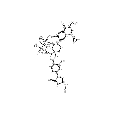 CCc1cc2c(=O)c(C(=O)O)cn(C3CC3)c2cc1N1CCC(COc2ccc(N3C[C@H](CO)OC3=O)cc2F)(OC(=O)OC(C)(P(=O)(O)O)P(=O)(O)O)CC1